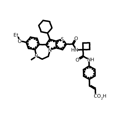 CCOc1ccc2c(c1)N(C)CCn1c-2c(C2CCCCC2)c2sc(C(=O)NC3(C(=O)Nc4ccc(/C=C/C(=O)O)cc4)CCC3)cc21